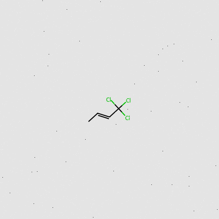 CC=CC(Cl)(Cl)Cl